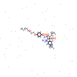 CCCOCCOc1ccc(OCC(O)C(N)C(O)(CCC)c2ccc(C)nc2)cc1